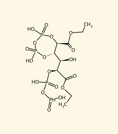 CCOC(=O)[C@@H](OP(=O)(O)O[PH](=O)O)[C@H](O)[C@@H]1OP(=O)(O)OP(=O)(O)O[C@H]1C(=O)OCC